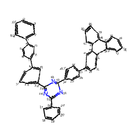 c1ccc(-c2ccc(-c3cccc(-c4nc(-c5ccccc5)nc(-c5ccc(-c6ccc7c8ccccc8c8ccccc8c7c6)cc5)n4)c3)cc2)cc1